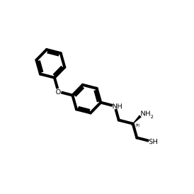 N[C@@H](CS)CNc1ccc(Oc2ccccc2)cc1